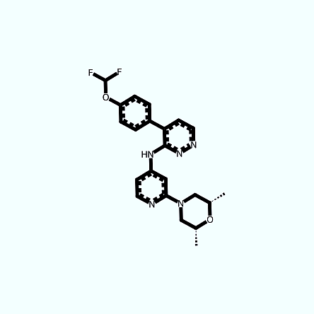 C[C@@H]1CN(c2cc(Nc3nnccc3-c3ccc(OC(F)F)cc3)ccn2)C[C@H](C)O1